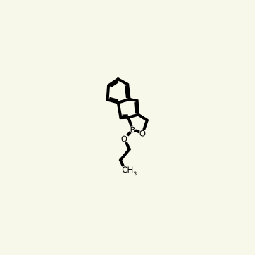 CCCOB1OCc2cc3ccccc3cc21